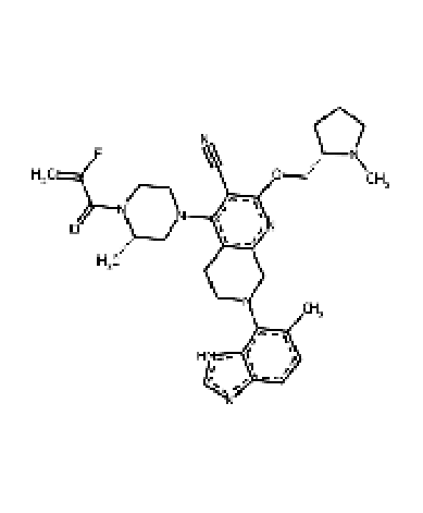 C=C(F)C(=O)N1CCN(c2c(C#N)c(OC[C@@H]3CCCN3C)nc3c2CCN(c2c(C)ccc4nc[nH]c24)C3)C[C@@H]1C